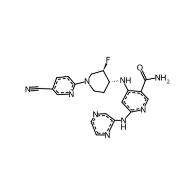 N#Cc1ccc(N2CC[C@@H](Nc3cc(Nc4cnccn4)ncc3C(N)=O)[C@H](F)C2)nc1